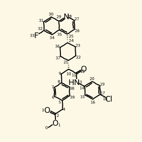 COC(=O)Cc1ccc(CC(C(=O)Nc2ccc(Cl)cc2)[C@H]2CC[C@@H](c3ccnc4ccc(F)cc43)CC2)cc1